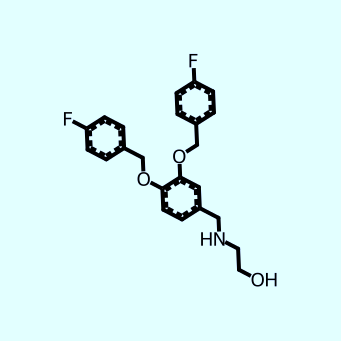 OCCNCc1ccc(OCc2ccc(F)cc2)c(OCc2ccc(F)cc2)c1